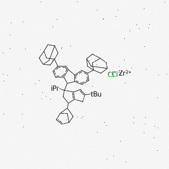 CC(C)C1(C2c3ccc(C45CC6CC(CC(C6)C4)C5)cc3-c3cc(C45CC6CC(CC(C6)C4)C5)ccc32)CC(C2CC3C=CC2C3)C2=C1C=C(C(C)(C)C)C2.[Cl-].[Cl-].[Zr+2]